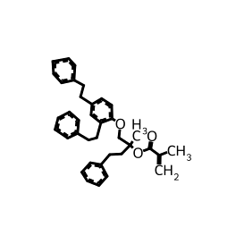 C=C(C)C(=O)OC(C)(CCc1ccccc1)COc1ccc(CCc2ccccc2)cc1CCc1ccccc1